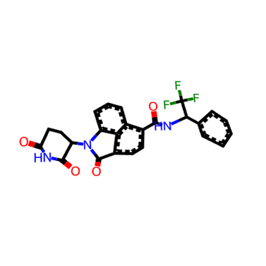 O=C1CCC(N2C(=O)c3ccc(C(=O)NC(c4ccccc4)C(F)(F)F)c4cccc2c34)C(=O)N1